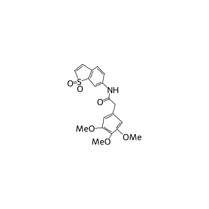 COc1cc(CC(=O)Nc2ccc3c(c2)S(=O)(=O)C=C3)cc(OC)c1OC